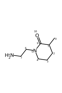 CC1CCCN(CCN)C1=O